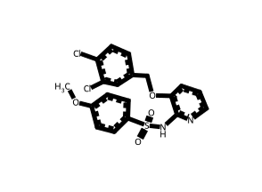 COc1ccc(S(=O)(=O)Nc2ncccc2OCc2ccc(Cl)c(Cl)c2)cc1